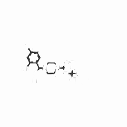 CC(c1ccc(Cl)cc1Cl)N1CCN(C(=O)OC(C)(C)C)CC1